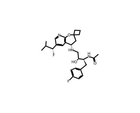 CC(=O)N[C@@H](Cc1ccc(F)cc1)[C@@H](O)CN[C@H]1CC2(CCC2)Oc2ncc([C@H](F)C(C)C)cc21